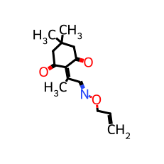 C=CCON=CC(C)=C1C(=O)CC(C)(C)CC1=O